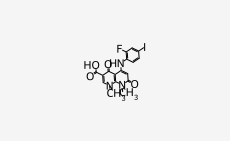 Cn1cc(C(=O)O)c(=O)c2c(Nc3ccc(I)cc3F)cc(=O)n(C)c21